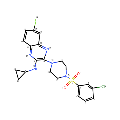 O=S(=O)(c1cccc(Cl)c1)N1CCN(c2nc3cc(F)ccc3nc2NC2CC2)CC1